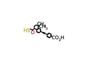 CC1(C)CCC(C(=O)CS)c2ccc(C#Cc3ccc(C(=O)O)cc3)cc21